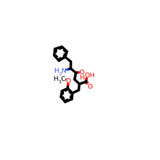 COc1ccccc1CC(CC(O)C(N)Cc1ccccc1)C(=O)O